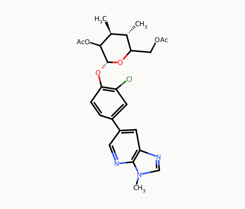 CC(=O)OCC1O[C@H](Oc2ccc(-c3cnc4c(c3)ncn4C)cc2Cl)C(OC(C)=O)[C@@H](C)[C@@H]1C